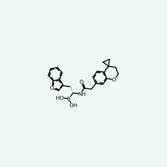 O=C(Cc1ccc2c(c1)OCCC21CC1)N[C@@H](Cc1coc2ccccc12)B(O)O